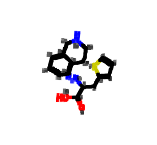 N[C@@H](Cc1cccs1)C(=O)O.c1ccc2c(c1)CCNC2